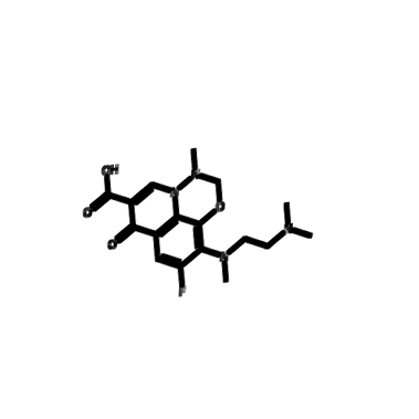 CN(C)CCN(C)c1c(F)cc2c(=O)c(C(=O)O)cn3c2c1OCN3C